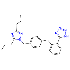 CCCc1nc(CCC)n(Cc2ccc(Cc3ccccc3-c3nnn[nH]3)cc2)n1